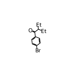 CCC(CC)C(=O)c1ccc(Br)cc1